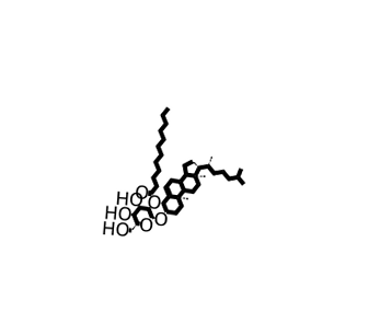 CCCCCCCCCCCC(=O)O[C@H]1[C@H](OC2CC[C@@]3(C)C(=CCC4C3CC[C@@]3(C)C4CC[C@@H]3[C@H](C)CCCC(C)C)C2)O[C@H](CO)[C@@H](O)[C@@H]1O